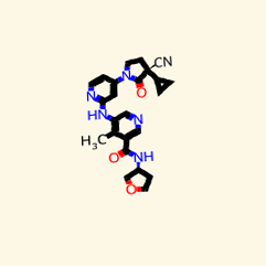 Cc1c(Nc2cc(N3CC[C@@](C#N)(C4CC4)C3=O)ccn2)cncc1C(=O)N[C@H]1CCOC1